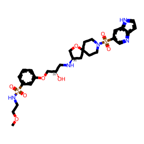 COCCNS(=O)(=O)c1cccc(OC[C@@H](O)CN[C@H]2COC3(CCN(S(=O)(=O)c4cnc5cc[nH]c5c4)CC3)C2)c1